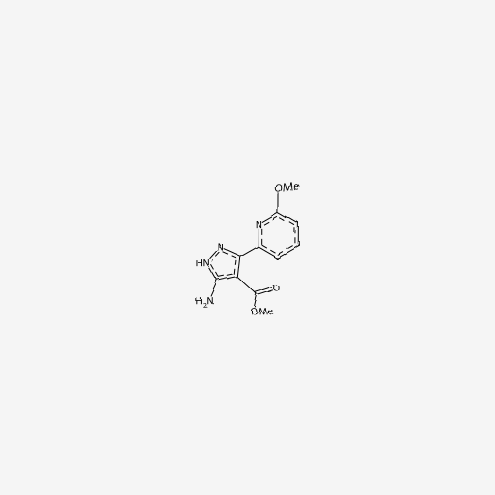 COC(=O)c1c(-c2cccc(OC)n2)n[nH]c1N